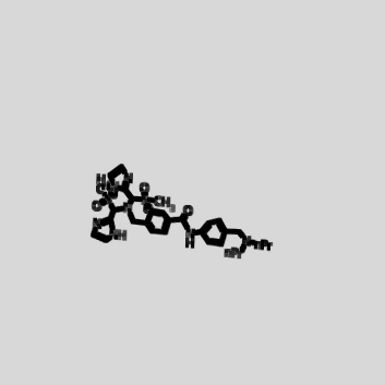 CCCN(CCC)Cc1ccc(NC(=O)c2ccc(CN(C(c3ncc[nH]3)S(C)(=O)=O)C(c3ncc[nH]3)S(C)(=O)=O)cc2)cc1